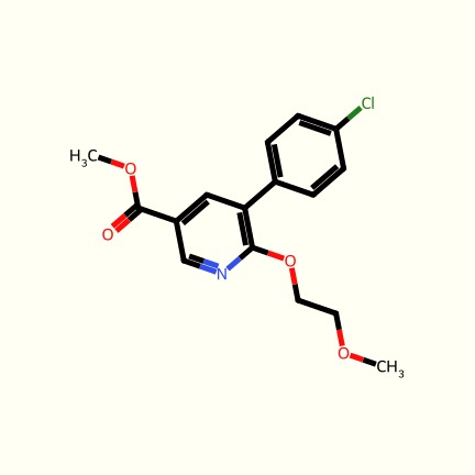 COCCOc1ncc(C(=O)OC)cc1-c1ccc(Cl)cc1